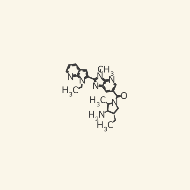 CC[C@@H]1CN(C(=O)c2cnc3c(c2)nc(-c2cc4cccnc4n2CC)n3C)[C@H](C)[C@@H]1N